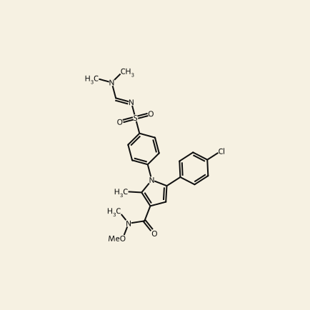 CON(C)C(=O)c1cc(-c2ccc(Cl)cc2)n(-c2ccc(S(=O)(=O)/N=C/N(C)C)cc2)c1C